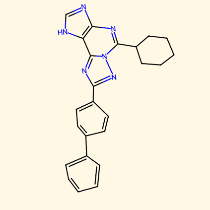 c1ccc(-c2ccc(-c3nc4c5[nH]cnc5nc(C5CCCCC5)n4n3)cc2)cc1